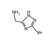 CC(C)c1n[nH]c(CN)n1